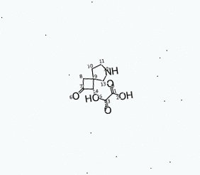 O=C(O)C(=O)O.O=C1CC2(CCNC2)C1